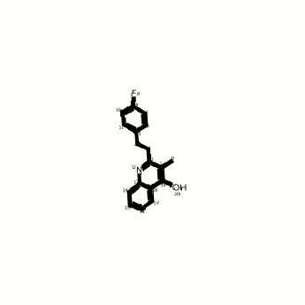 Cc1c(CCc2ccc(F)cc2)nc2ccccc2c1O